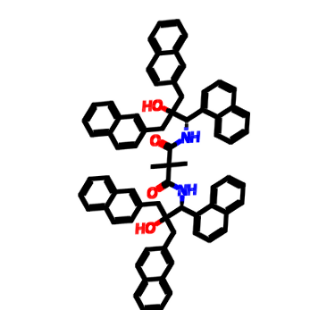 CC(C)(C(=O)N[C@@H](c1cccc2ccccc12)C(O)(Cc1ccc2ccccc2c1)Cc1ccc2ccccc2c1)C(=O)N[C@@H](c1cccc2ccccc12)C(O)(Cc1ccc2ccccc2c1)Cc1ccc2ccccc2c1